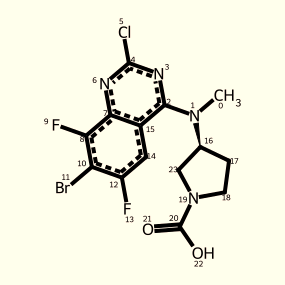 CN(c1nc(Cl)nc2c(F)c(Br)c(F)cc12)[C@H]1CCN(C(=O)O)C1